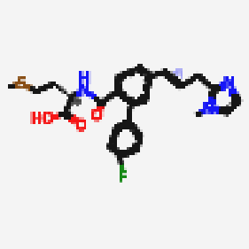 CSCC[C@H](NC(=O)c1ccc(/C=C/Cc2nccn2C)cc1-c1ccc(F)cc1)C(=O)O